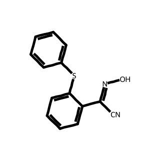 N#CC(=NO)c1ccccc1Sc1ccccc1